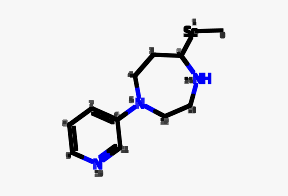 C[Se]C1CCN(c2cccnc2)CCN1